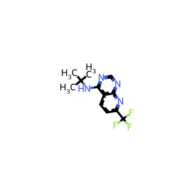 CC(C)(C)Nc1ncnc2nc(C(F)(F)F)ccc12